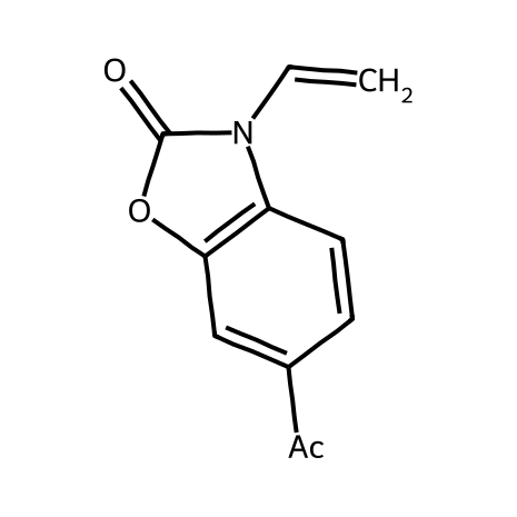 C=Cn1c(=O)oc2cc(C(C)=O)ccc21